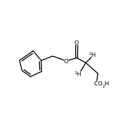 [2H]C([2H])(CC(=O)O)C(=O)OCc1ccccc1